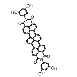 O=C1c2ccc3c4ccc5c6ccc7c8c(ccc(c9ccc(c%10ccc(c2c3%10)C(=O)N1c1cc(O)cc(O)c1)c4c59)c86)C(=O)N(c1cc(O)cc(O)c1)C7=O